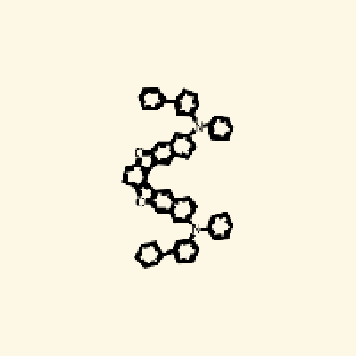 c1ccc(-c2cccc(N(c3ccccc3)c3ccc4cc5c(cc4c3)oc3ccc4oc6cc7cc(N(c8ccccc8)c8cccc(-c9ccccc9)c8)ccc7cc6c4c35)c2)cc1